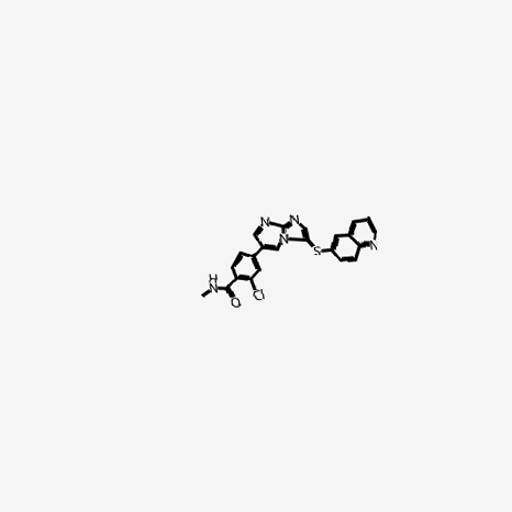 CNC(=O)c1ccc(-c2cnc3ncc(Sc4ccc5ncccc5c4)n3c2)cc1Cl